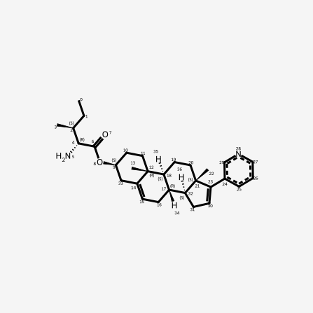 CC[C@H](C)[C@@H](N)C(=O)O[C@H]1CC[C@@]2(C)C(=CC[C@@H]3[C@@H]2CC[C@]2(C)C(c4cccnc4)=CC[C@@H]32)C1